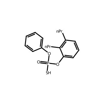 CCCc1cccc(OP(=O)(S)Oc2ccccc2)c1CCC